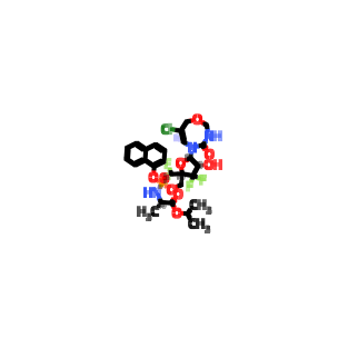 CC(C)OC(=O)[C@H](C)NP(=O)(OC[C@@]1(C(F)F)O[C@@H](N2/C=C(/Cl)COCNC2=O)[C@H](O)C1(F)F)Oc1cccc2ccccc12